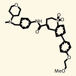 COCCOc1ccc(-c2ccc3c(c2)C=C(C(=O)Nc2ccc(CN(C)C4CCOCC4)cc2)CCS3(=O)=O)cc1